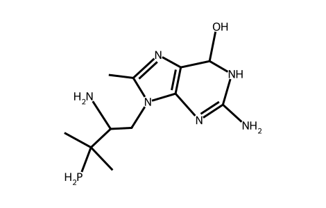 Cc1nc2c(n1CC(N)C(C)(C)P)N=C(N)NC2O